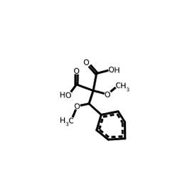 COC(c1ccccc1)C(OC)(C(=O)O)C(=O)O